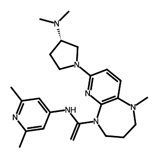 C=C(Nc1cc(C)nc(C)c1)N1CCCN(C)c2ccc(N3CC[C@H](N(C)C)C3)nc21